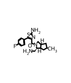 CC1C[C@H]2CN(C(=O)c3nc(N)sc3-c3ccc(F)cc3)[C@H](CN)[C@H]2C1